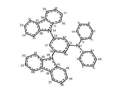 c1ccc(N(c2ccccc2)c2cc(-n3c4ccccc4c4ccccc43)cc(-n3c4ccccc4c4ccccc43)c2)cc1